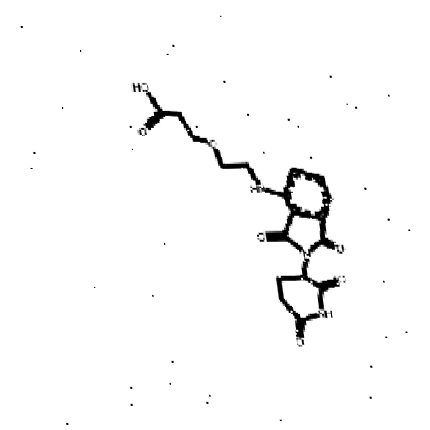 O=C(O)CCOCCNc1cccc2c1C(=O)N(C1CCC(=O)NC1=O)C2=O